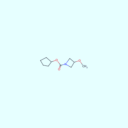 COC1CN(C(=O)OC2CCCC2)C1